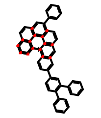 c1ccc(-c2ccc(-c3ccccc3N(c3ccc(-c4ccc(-c5ccccc5)c(-c5ccccc5)c4)cc3)c3ccccc3-c3cccc4cccc(-c5ccccc5)c34)cc2)cc1